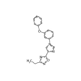 CCc1noc(-c2cn(-c3cccc(Oc4ccccc4)c3)cn2)n1